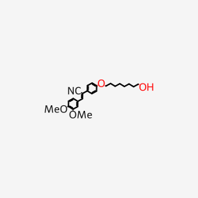 COc1ccc(/C=C(\C#N)c2ccc(OCCCCCCCCO)cc2)cc1OC